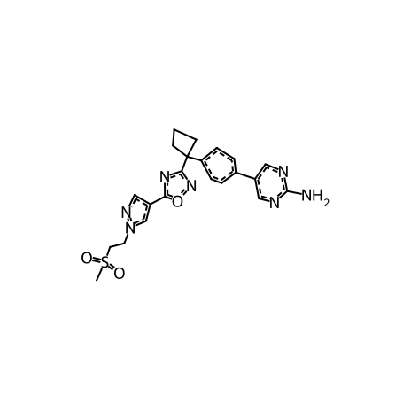 CS(=O)(=O)CCn1cc(-c2nc(C3(c4ccc(-c5cnc(N)nc5)cc4)CCC3)no2)cn1